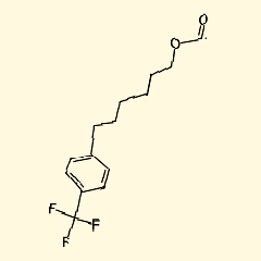 O=[C]OCCCCCCc1ccc(C(F)(F)F)cc1